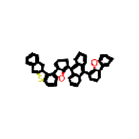 c1ccc2cc3c(cc2c1)sc1ccc2oc4c(-c5c6ccccc6c(-c6cccc7c6oc6ccccc67)c6ccccc56)cccc4c2c13